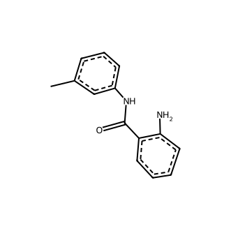 Cc1cccc(NC(=O)c2ccccc2N)c1